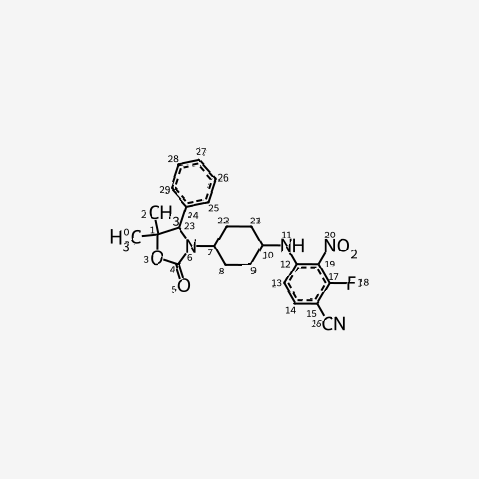 CC1(C)OC(=O)N(C2CCC(Nc3ccc(C#N)c(F)c3[N+](=O)[O-])CC2)C1c1ccccc1